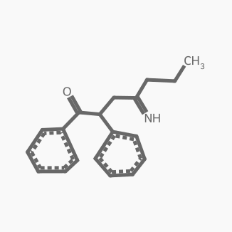 CCCC(=N)CC(C(=O)c1ccccc1)c1ccccc1